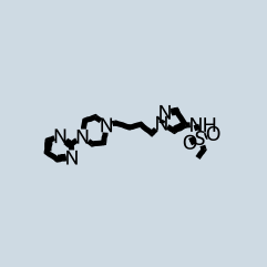 CCS(=O)(=O)Nc1cnn(CCCCN2CCN(c3ncccn3)CC2)c1